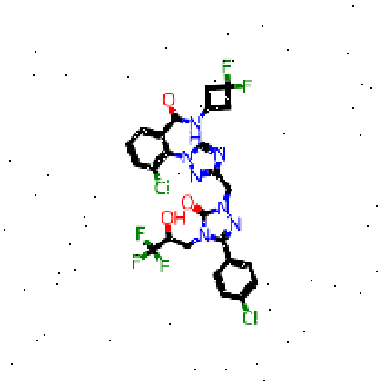 O=C(NC1CC(F)(F)C1)c1cccc(Cl)c1-n1cnc(Cn2nc(-c3ccc(Cl)cc3)n(CC(O)C(F)(F)F)c2=O)n1